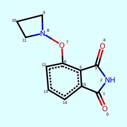 O=C1NC(=O)c2c(ON3CCC3)cccc21